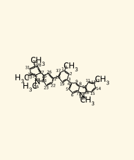 Cc1cc(-c2ccc3c(c2)c2cc(C)ccc2n3C)cc(-c2ccc3c(c2)c2cc(C)cc(C)c2n3C)c1